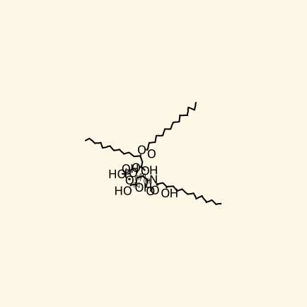 CCCCCCCCCCCCCC(=O)OC(CCCCCCCCCCC)CC(=O)O[C@@H]([C@H](OP(=O)(O)O)[C@H](O)CO)[C@H](C=O)NC(=O)CC(O)CCCCCCCCCCC